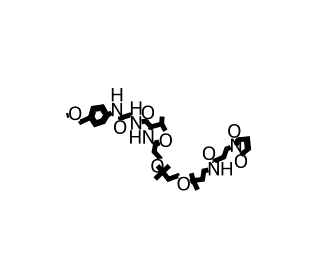 COCc1ccc(NC(=O)CNC(=O)C(NC(=O)CCOC(C)(C)CCOC(C)(C)CCNC(=O)CCN2C(=O)C=CC2=O)C(C)C)cc1